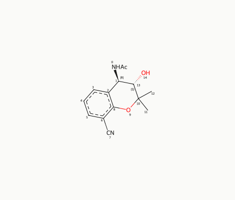 CC(=O)N[C@@H]1c2cccc(C#N)c2OC(C)(C)[C@H]1O